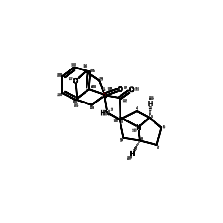 O=C(NC1C[C@H]2CC[C@@H](C1)N2CC(=O)N1CCOCC1)c1ccccc1